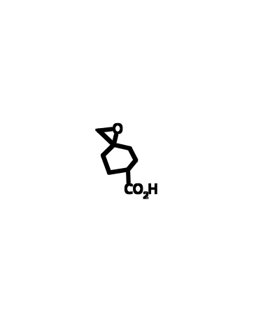 O=C(O)C1CCC2(CC1)CO2